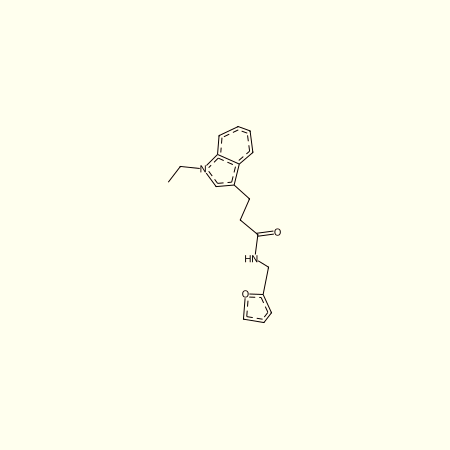 CCn1cc(CCC(=O)NCc2ccco2)c2ccccc21